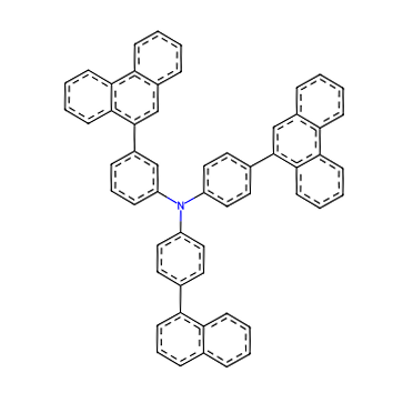 c1cc(-c2cc3ccccc3c3ccccc23)cc(N(c2ccc(-c3cccc4ccccc34)cc2)c2ccc(-c3cc4ccccc4c4ccccc34)cc2)c1